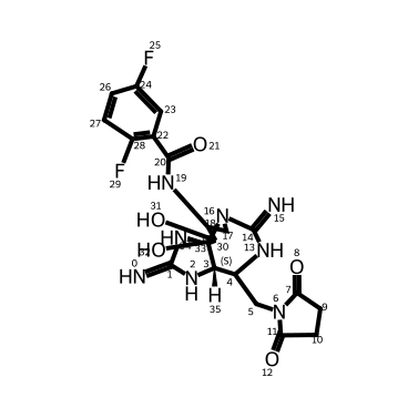 N=C1N[C@H]2C(CN3C(=O)CCC3=O)NC(=N)N3CC(NC(=O)c4cc(F)ccc4F)C(O)(O)[C@]23N1